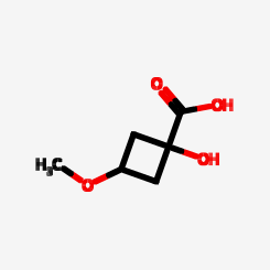 COC1CC(O)(C(=O)O)C1